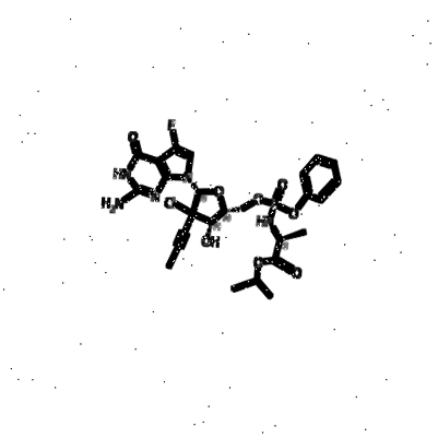 CC#CC1(Cl)[C@@H](O)[C@@H](COP(=O)(N[C@@H](C)C(=O)OC(C)C)Oc2ccccc2)O[C@H]1n1cc(F)c2c(=O)[nH]c(N)nc21